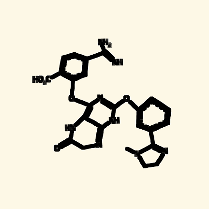 CN1CCN=C1c1cccc(OC2=NC(Oc3cc(C(=N)N)ccc3C(=O)O)=C3NC(=O)CN=C3N2)c1